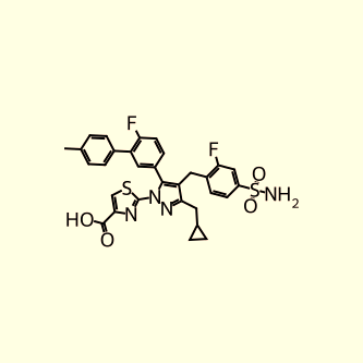 Cc1ccc(-c2cc(-c3c(Cc4ccc(S(N)(=O)=O)cc4F)c(CC4CC4)nn3-c3nc(C(=O)O)cs3)ccc2F)cc1